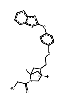 O=C(CO)N1C[C@@H]2C[C@H]1CN2CCOc1ccc(Oc2nc3ccccc3s2)cc1